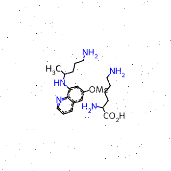 COc1cc(NC(C)CCCN)c2ncccc2c1.NCCCCC(N)C(=O)O